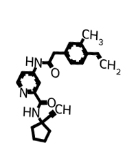 C#CC1(NC(=O)c2cc(NC(=O)Cc3ccc(C=C)c(C)c3)ccn2)CCCC1